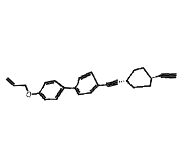 C#C[C@H]1CC[C@H](C#Cc2ccc(-c3ccc(OCC=C)cc3)cc2)CC1